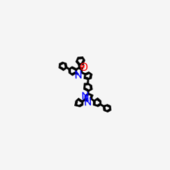 c1ccc(-c2ccc(-c3cc(-c4ccc(-c5cccc(-c6nc7ccc(-c8ccccc8)cc7c7c6oc6ccccc67)c5)cc4)nc(-c4ccccc4)n3)cc2)cc1